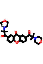 CC(C)(C(=O)c1ccc2oc3ccc(C(=O)C(C)(C)N4CCOCC4)cc3c(=O)c2c1)N1CCOCC1